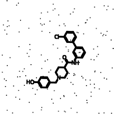 O=C(Nc1cccc(-c2cccc(Cl)c2)c1)C1CCN(Cc2ccc(O)cc2)CC1